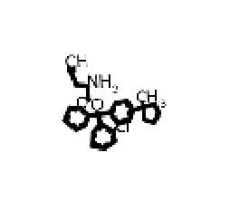 C#CCC(N)C(=O)OC(c1ccccc1)(c1ccc(C2(C)CCCC2)cc1)c1ccccc1Cl